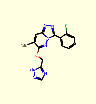 CC(C)(C)c1cc2nnc(-c3ccccc3F)n2nc1OCc1ncn[nH]1